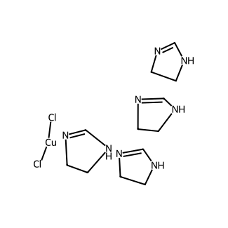 C1=NCCN1.C1=NCCN1.C1=NCCN1.C1=NCCN1.[Cl][Cu][Cl]